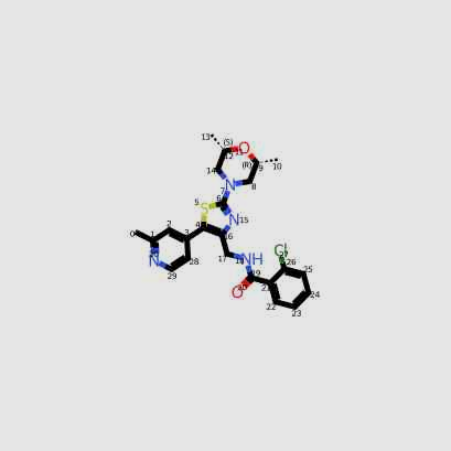 Cc1cc(-c2sc(N3C[C@@H](C)O[C@@H](C)C3)nc2CNC(=O)c2ccccc2Cl)ccn1